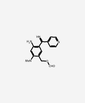 CNc1cc(N)c(C(=N)c2ccncc2)cc1COC=O